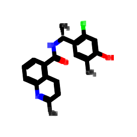 Cc1cc([C@@H](C)NC(=O)c2cccc3nc(C(C)(C)C)ccc23)c(Cl)cc1O